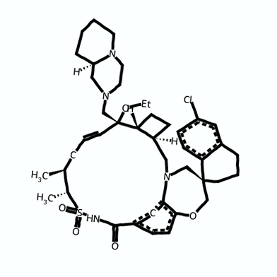 CCO[C@@]1(CN2CCN3CCCC[C@@H]3C2)/C=C/C[C@H](C)[C@@H](C)S(=O)(=O)NC(=O)c2ccc3c(c2)N(C[C@@H]2CC[C@H]21)C[C@@]1(CCCc2cc(Cl)ccc21)CO3